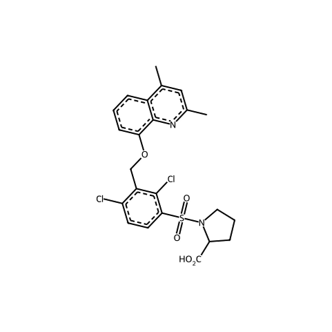 Cc1cc(C)c2cccc(OCc3c(Cl)ccc(S(=O)(=O)N4CCCC4C(=O)O)c3Cl)c2n1